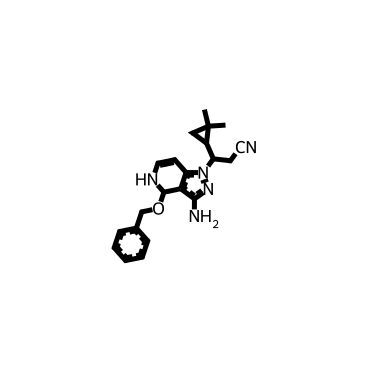 CC1(C)CC1C(CC#N)n1nc(N)c2c1C=CNC2OCc1ccccc1